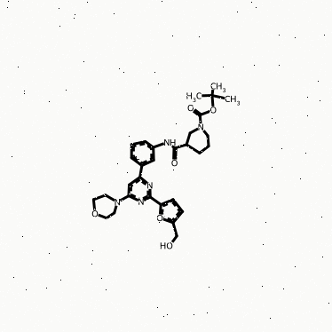 CC(C)(C)OC(=O)N1CCCC(C(=O)Nc2cccc(-c3cc(N4CCOCC4)nc(-c4ccc(CO)o4)n3)c2)C1